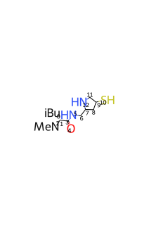 CC[C@H](C)[C@H](NC)C(=O)NCC1CC(S)CN1